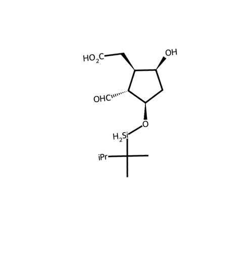 CC(C)C(C)(C)[SiH2]O[C@@H]1C[C@H](O)[C@H](CC(=O)O)[C@H]1C=O